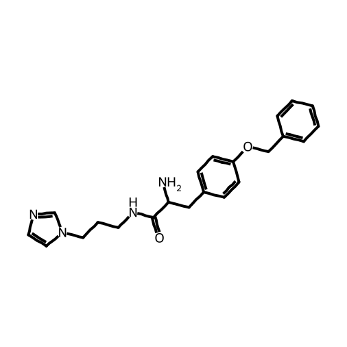 NC(Cc1ccc(OCc2ccccc2)cc1)C(=O)NCCCn1ccnc1